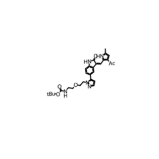 CC(=O)c1cc(C)[nH]c1/C=C1\C(=O)Nc2ccc(-c3ccnn3CCOCCNC(=O)OC(C)(C)C)cc21